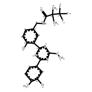 COc1nc(-c2ccc(C)c(Cl)c2)nc(-c2cc(CNC(=O)C(C)(C)C(F)(F)F)ccc2Cl)n1